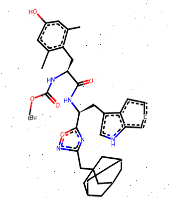 Cc1cc(O)cc(C)c1C[C@H](NC(=O)OC(C)(C)C)C(=O)N[C@@H](Cc1c[nH]c2ccccc12)c1nc(CC23CC4CC(CC(C4)C2)C3)no1